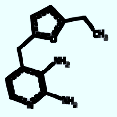 CCc1ccc(Cc2ccnc(N)c2N)o1